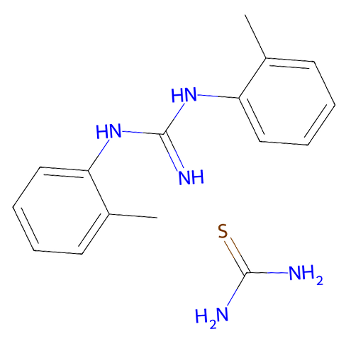 Cc1ccccc1NC(=N)Nc1ccccc1C.NC(N)=S